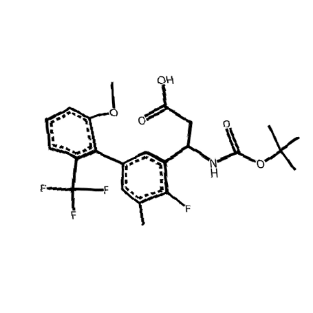 COc1cccc(C(F)(F)F)c1-c1cc(C)c(F)c(C(CC(=O)O)NC(=O)OC(C)(C)C)c1